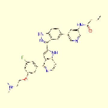 CCCC(=O)Nc1cncc(-c2ccc3[nH]nc(-c4cc5c(-c6cc(F)cc(OCCN(C)C)c6)nccc5[nH]4)c3c2)c1